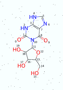 O=c1[nH]c2[nH]cnc2c(=O)n1C1OC(CO)C(O)C1O